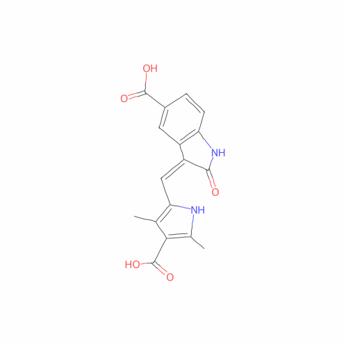 Cc1[nH]c(/C=C2\C(=O)Nc3ccc(C(=O)O)cc32)c(C)c1C(=O)O